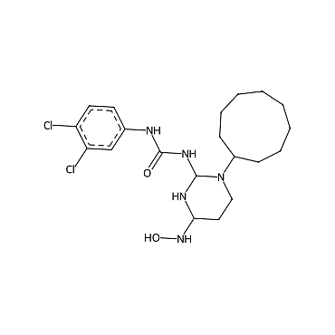 O=C(Nc1ccc(Cl)c(Cl)c1)NC1NC(NO)CCN1C1CCCCCCCC1